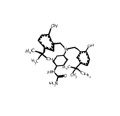 CC(C)(C)c1ccc(O)c(CN(Cc2cc(C(C)(C)C)ccc2O)C2CCC(NC(N)=O)CC2)c1